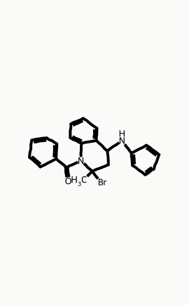 CC1(Br)CC(Nc2ccccc2)c2ccccc2N1C(=O)c1ccccc1